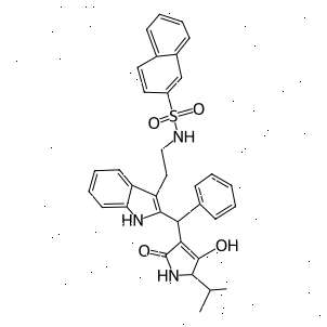 CC(C)C1NC(=O)C(C(c2ccccc2)c2[nH]c3ccccc3c2CCNS(=O)(=O)c2ccc3ccccc3c2)=C1O